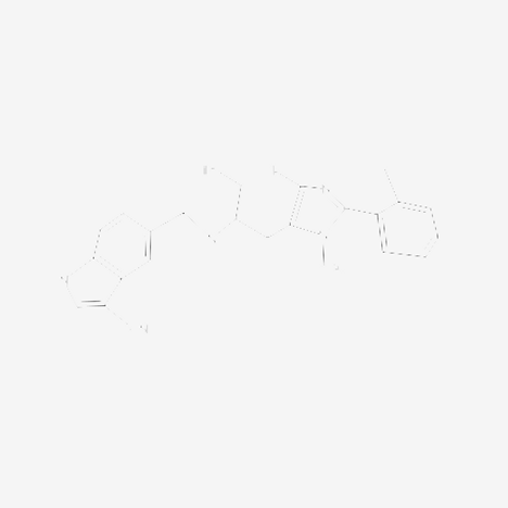 CCCCn1c(-c2ccccc2C)nc(Cl)c1CC(CC(C)C)NCc1ccc2[nH]cc(C#N)c2c1